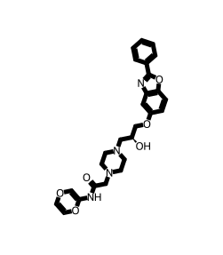 O=C(CN1CCN(C[C@@H](O)COc2ccc3oc(-c4ccccc4)nc3c2)CC1)NC1=COC=CO1